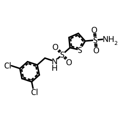 NS(=O)(=O)c1ccc(S(=O)(=O)NCc2cc(Cl)cc(Cl)c2)s1